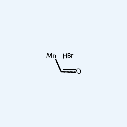 Br.O=[CH][Mn]